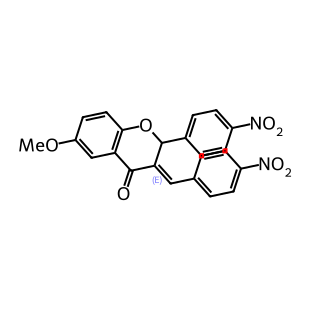 COc1ccc2c(c1)C(=O)/C(=C/c1ccc([N+](=O)[O-])cc1)C(c1ccc([N+](=O)[O-])cc1)O2